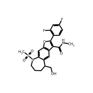 CNC(=O)c1c(-c2ccc(F)cc2F)oc2cc3c(cc12)C(CO)CCCN3S(C)(=O)=O